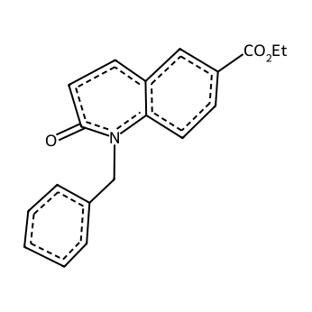 CCOC(=O)c1ccc2c(ccc(=O)n2Cc2ccccc2)c1